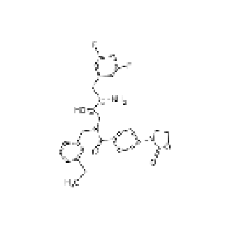 CCc1cccc(CN(C[C@@H](O)[C@@H](N)Cc2cc(F)cc(F)c2)C(=O)c2ccc(N3CCOC3=O)cc2)c1